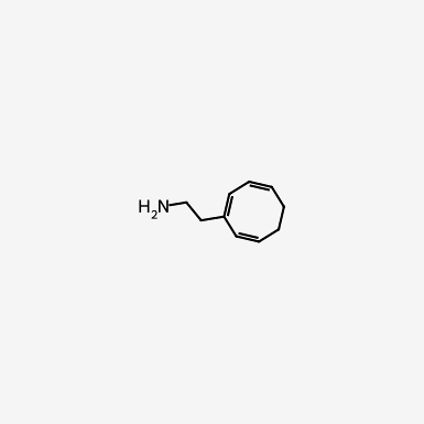 NCCC1=C/C=C\CC/C=C\1